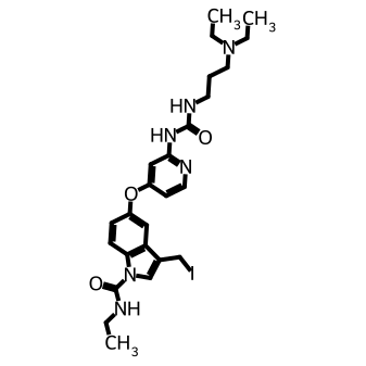 CCNC(=O)n1cc(CI)c2cc(Oc3ccnc(NC(=O)NCCCN(CC)CC)c3)ccc21